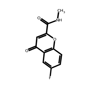 CNC(=O)c1cc(=O)c2cc(F)ccc2o1